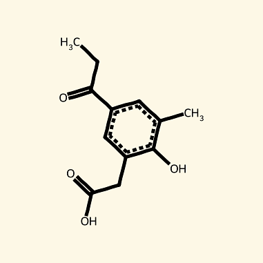 CCC(=O)c1cc(C)c(O)c(CC(=O)O)c1